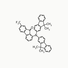 CC1(C)c2ccccc2-c2ccc(N(c3ccc4c(c3)C(C)(C)c3ccccc3-4)c3cccc4c3C(=O)c3cc(C(F)(F)F)ccc3-4)cc21